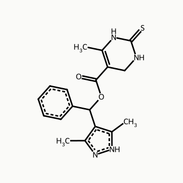 CC1=C(C(=O)OC(c2ccccc2)c2c(C)n[nH]c2C)CNC(=S)N1